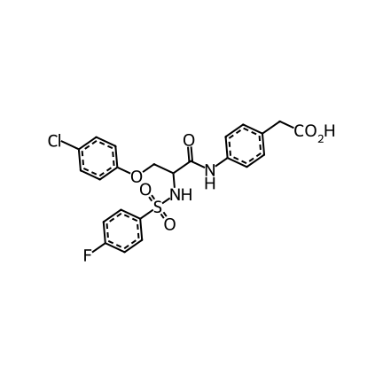 O=C(O)Cc1ccc(NC(=O)C(COc2ccc(Cl)cc2)NS(=O)(=O)c2ccc(F)cc2)cc1